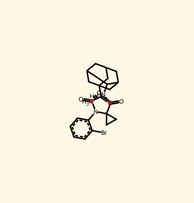 NC(=O)C12CC3CC(C1)C(NC(=O)C1(N(c4ccccc4Br)[SH](=O)=O)CC1)C(C3)C2